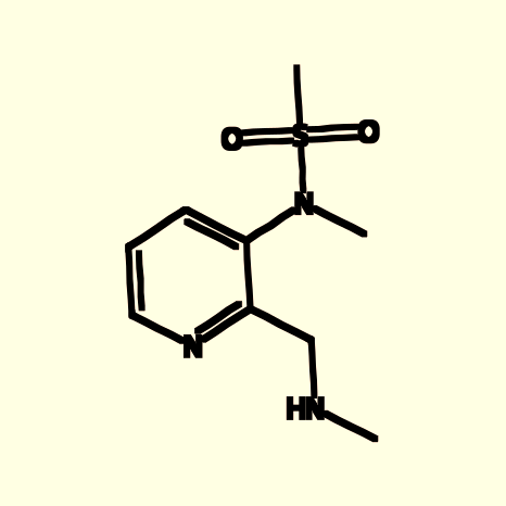 CNCc1ncccc1N(C)S(C)(=O)=O